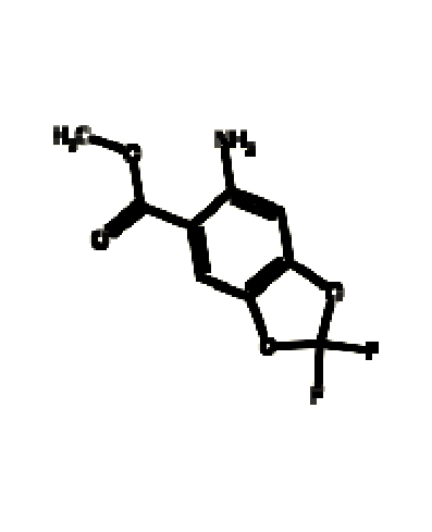 COC(=O)c1cc2c(cc1N)OC(F)(F)O2